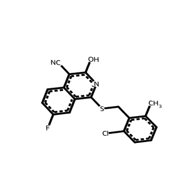 Cc1cccc(Cl)c1CSc1nc(O)c(C#N)c2ccc(F)cc12